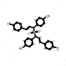 N#Cc1ccc(C(C=Cc2ccc(Cl)cc2)S(=O)(=O)C(C=Cc2ccc(Cl)cc2)c2ccc(C#N)cc2)cc1